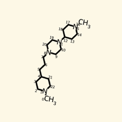 CN1CCC(CCCN2CCN(C3CCN(C)CC3)CC2)CC1